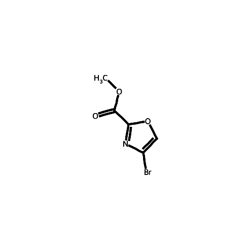 COC(=O)c1nc(Br)co1